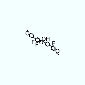 CCOc1ccc(C2CCC(C(O)Oc3ccc(C4CCC(OC)CC4)c(F)c3F)CC2)c(F)c1